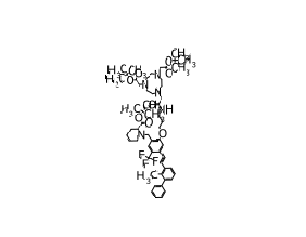 Cc1c(/C=C/c2cc(OCCCNC(=O)CN3CCN(CC(=O)OC(C)(C)C)CCN(CC(=O)OC(C)(C)C)CC3)c(CN3CCCC[C@H]3C(=O)OC(C)(C)C)cc2C(F)(F)F)cccc1-c1ccccc1